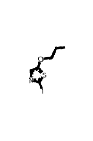 CCCOc1cnc(I)s1